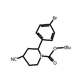 CC(C)(C)OC(=O)N1CCC(C#N)CC1c1ccc(Br)cc1